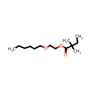 CCCCCCOCCOC(=O)C(C)(C)CC